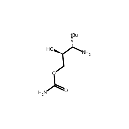 CC(C)(C)[C@H](N)[C@H](O)COC(N)=O